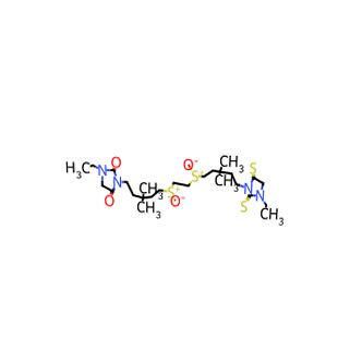 CCN1CC(=O)N(CCC(C)(C)CC[S+]([O-])CC[S+]([O-])CCC(C)(C)CCN2C(=S)CN(CC)C2=S)C1=O